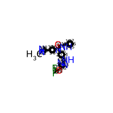 Cn1cc(-c2ccc(N(C(=O)NCc3ccccc3)C3CCC(Nc4ncc(OC(F)F)cn4)CC3)cc2)cn1